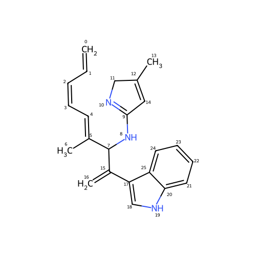 C=C/C=C\C=C(/C)C(NC1=NCC(C)=C1)C(=C)c1c[nH]c2ccccc12